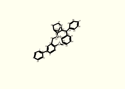 COc1ccc(-c2ccccc2)cc1CNC1C2CCN(C2)C1C(c1ccccc1)c1ccccc1